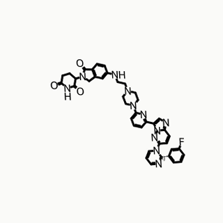 O=C1CCC(N2Cc3cc(NCCN4CCN(c5cccc(-c6cnc7ccc(N8C=CC=N[C@H]8c8cccc(F)c8)nn67)n5)CC4)ccc3C2=O)C(=O)N1